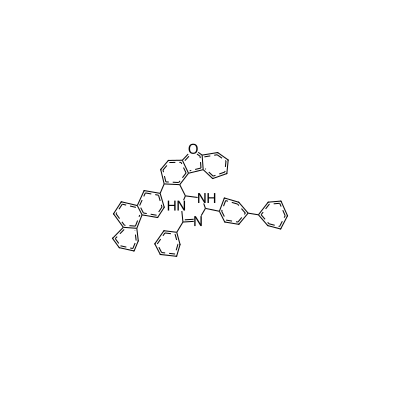 c1ccc(C2=NC(c3ccc(-c4ccccc4)cc3)NC(c3c(-c4ccc5c(ccc6ccccc65)c4)ccc4oc5ccccc5c34)N2)cc1